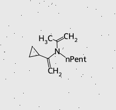 C=C(C)N(CCCCC)C(=C)C1CC1